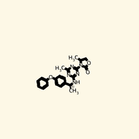 Cc1nc(N[C@@H](C)c2ccc(Oc3ccccc3)cc2)nc(N2C(=O)OCC2C)n1